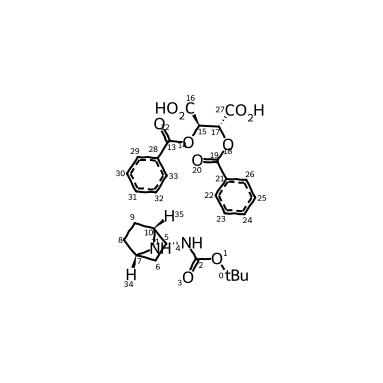 CC(C)(C)OC(=O)N[C@@H]1C[C@@H]2CC[C@H]1N2.O=C(O[C@@H](C(=O)O)[C@@H](OC(=O)c1ccccc1)C(=O)O)c1ccccc1